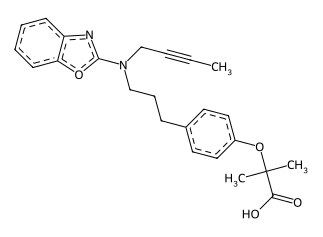 CC#CCN(CCCc1ccc(OC(C)(C)C(=O)O)cc1)c1nc2ccccc2o1